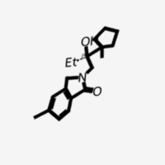 CC[C@@](O)(CN1Cc2cc(C)ccc2C1=O)C1(C)CCCC1